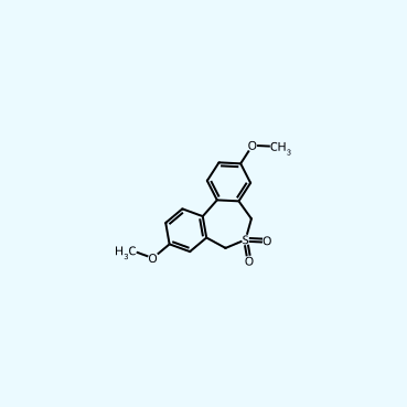 COc1ccc2c(c1)CS(=O)(=O)Cc1cc(OC)ccc1-2